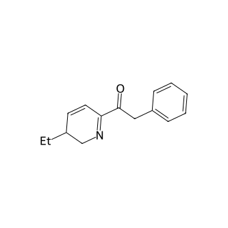 CCC1C=CC(C(=O)Cc2ccccc2)=NC1